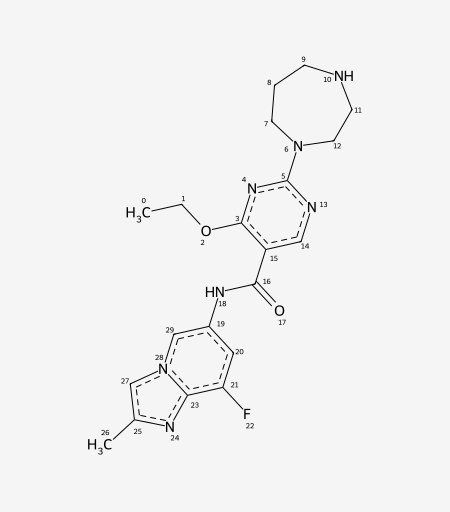 CCOc1nc(N2CCCNCC2)ncc1C(=O)Nc1cc(F)c2nc(C)cn2c1